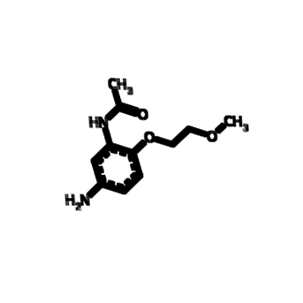 COCCOc1ccc(N)cc1NC(C)=O